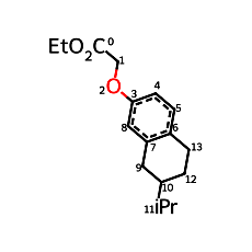 CCOC(=O)COc1ccc2c(c1)CC(C(C)C)CC2